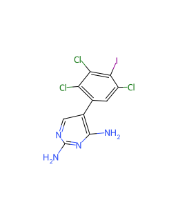 Nc1ncc(-c2cc(Cl)c(I)c(Cl)c2Cl)c(N)n1